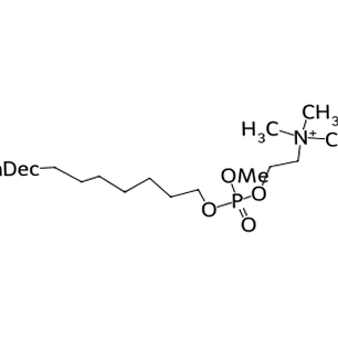 CCCCCCCCCCCCCCCCCOP(=O)(OC)OCC[N+](C)(C)C